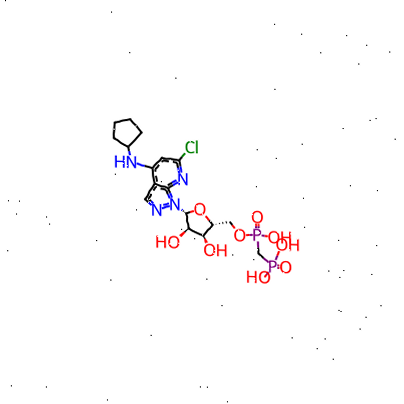 O=P(O)(O)CP(=O)(O)OC[C@H]1O[C@@H](n2ncc3c(NC4CCCC4)cc(Cl)nc32)[C@H](O)[C@@H]1O